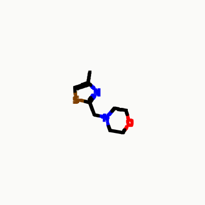 Cc1csc(CN2CCOCC2)n1